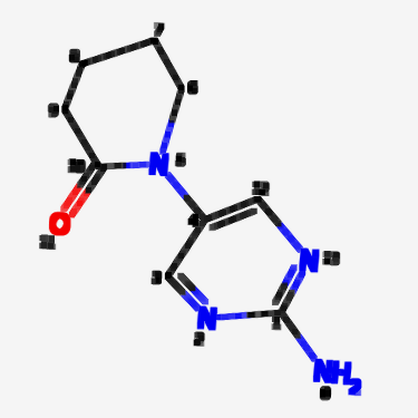 Nc1ncc(N2CCCCC2=O)cn1